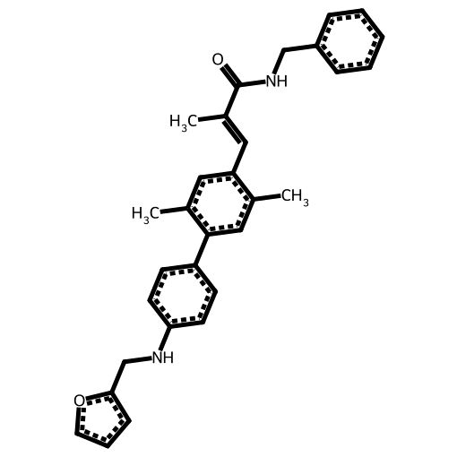 C/C(=C\c1cc(C)c(-c2ccc(NCc3ccco3)cc2)cc1C)C(=O)NCc1ccccc1